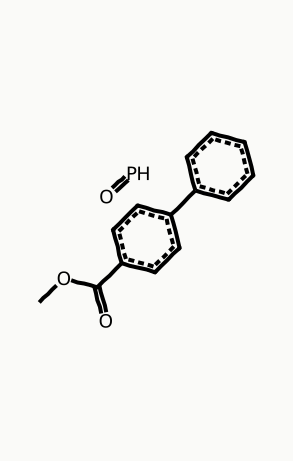 COC(=O)c1ccc(-c2ccccc2)cc1.O=P